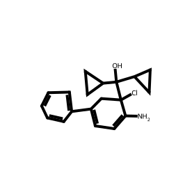 NC1=CC=C(c2ccccc2)CC1(Cl)C(O)(C1CC1)C1CC1